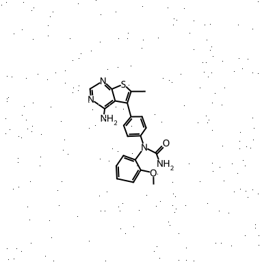 COc1ccccc1N(C(N)=O)c1ccc(-c2c(C)sc3ncnc(N)c23)cc1